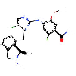 C=C1c2c(Cc3nc(Nc4cc(F)c(C(N)=O)cc4OC)ncc3Cl)cccc2CN1C